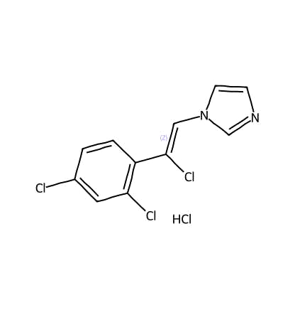 Cl.Cl/C(=C\n1ccnc1)c1ccc(Cl)cc1Cl